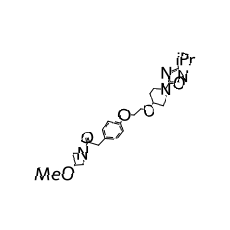 COC1CN(C(=O)Cc2ccc(OCCOC3CCN(c4nc(C(C)C)no4)CC3)cc2)C1